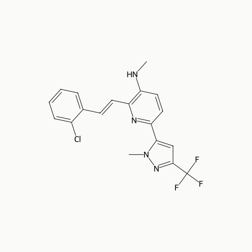 CNc1ccc(-c2cc(C(F)(F)F)nn2C)nc1C=Cc1ccccc1Cl